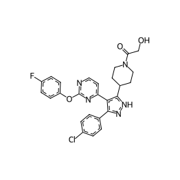 O=C(CO)N1CCC(c2[nH]nc(-c3ccc(Cl)cc3)c2-c2ccnc(Oc3ccc(F)cc3)n2)CC1